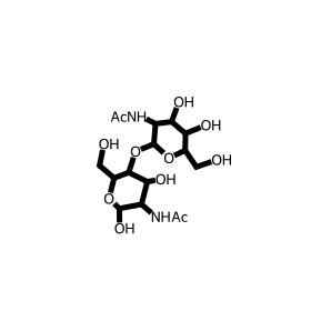 CC(=O)NC1C(O)OC(CO)C(OC2OC(CO)C(O)C(O)C2NC(C)=O)C1O